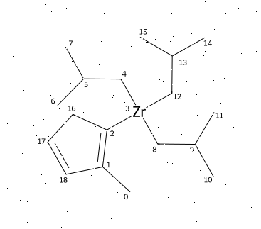 CC1=[C]([Zr]([CH2]C(C)C)([CH2]C(C)C)[CH2]C(C)C)CC=C1